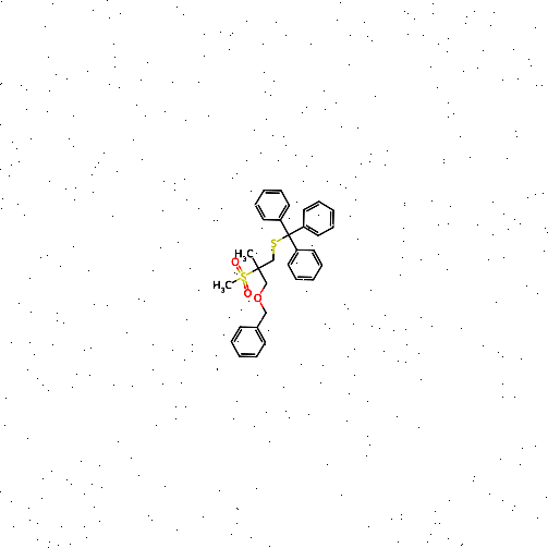 CC(COCc1ccccc1)(CSC(c1ccccc1)(c1ccccc1)c1ccccc1)S(C)(=O)=O